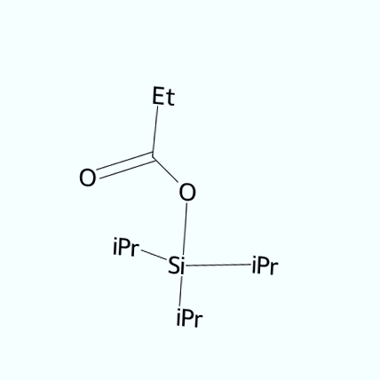 [CH2]CC(=O)O[Si](C(C)C)(C(C)C)C(C)C